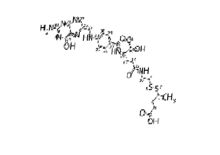 CC(CCC(=O)O)SSCCNC(=O)CC[C@H](NC(=O)c1ccc(NCc2cnc3nc(N)nc(O)c3n2)cc1)C(=O)O